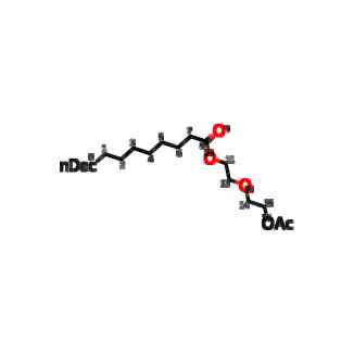 CCCCCCCCCCCCCCCCCC(=O)OCCOCCOC(C)=O